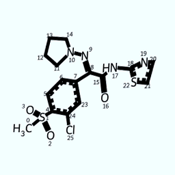 CS(=O)(=O)c1ccc(/C(=N\N2CCCC2)C(=O)Nc2nccs2)cc1Cl